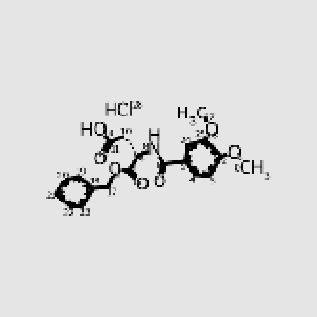 COc1ccc(C(=O)N[C@@H](CC(=O)O)C(=O)OCc2ccccc2)cc1OC.Cl